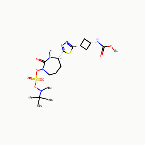 CCCCN(OS(=O)(=O)ON1CCC[C@@H](c2nnc([C@H]3C[C@@H](NC(=O)OC(C)(C)C)C3)s2)N(CC)C1=O)C(CCC)(CCCC)CCCC